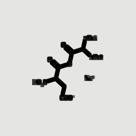 CCCCCCCCC(CCCCCCCC)C(=O)OC(=O)C(CC(=O)[O-])S(=O)(=O)O.[Na+]